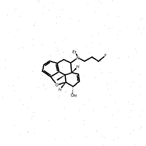 CCN(CCCF)C1Cc2cccc3c2[C@]2(C)[C@H]1C=C[C@H](O)[C@@H]2O3